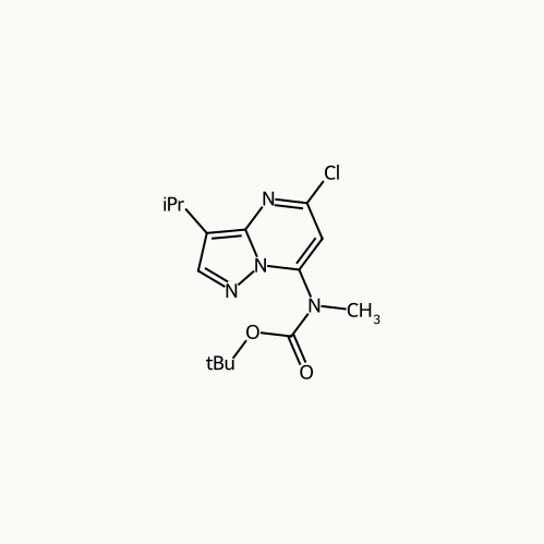 CC(C)c1cnn2c(N(C)C(=O)OC(C)(C)C)cc(Cl)nc12